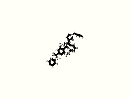 CC#CCN1CCC(c2nc(-c3ccc(C(=O)Nc4ccccn4)cc3C#N)n3c(N)nccc23)C1